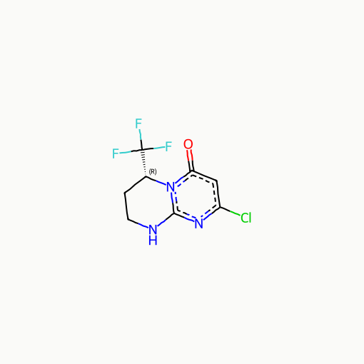 O=c1cc(Cl)nc2n1[C@@H](C(F)(F)F)CCN2